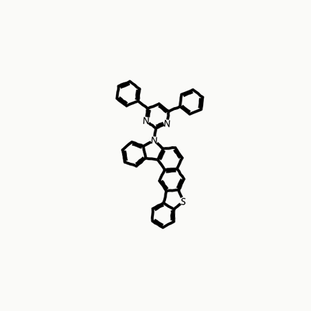 c1ccc(-c2cc(-c3ccccc3)nc(-n3c4ccccc4c4c5cc6c(cc5ccc43)sc3ccccc36)n2)cc1